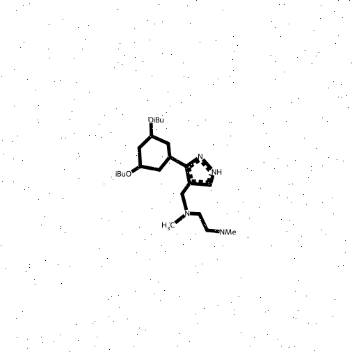 CNCCN(C)Cc1c[nH]nc1C1CC(OCC(C)C)CC(OCC(C)C)C1